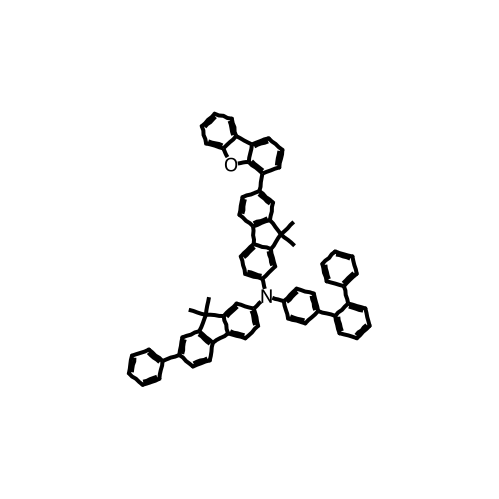 CC1(C)c2cc(-c3ccccc3)ccc2-c2ccc(N(c3ccc(-c4ccccc4-c4ccccc4)cc3)c3ccc4c(c3)C(C)(C)c3cc(-c5cccc6c5oc5ccccc56)ccc3-4)cc21